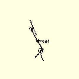 CCCCCCCCC(CCCCCC)C(=O)N(C)CCCCCCCCN(CCCCCO)CCCCCCCCN(C)C(=O)C(CCCCCC)CCCCCCCC